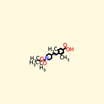 Cc1cc(C(=O)O)cc(C)c1/C=C/C1CCN(C(=O)OC(C)(C)C)CC1